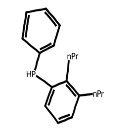 CCCc1cccc(Pc2ccccc2)c1CCC